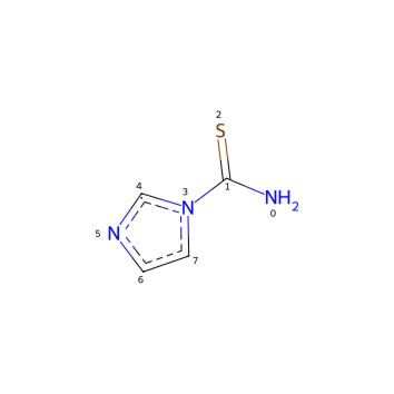 NC(=S)n1[c]ncc1